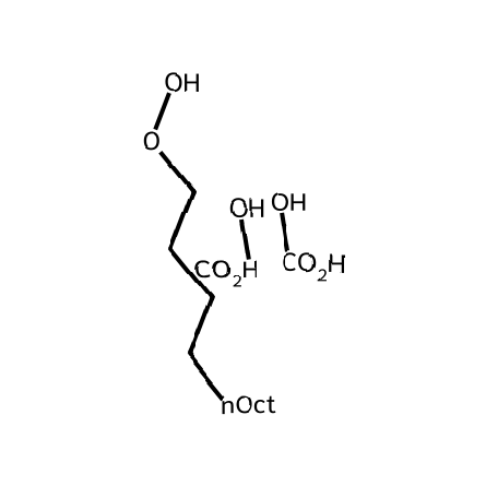 CCCCCCCCCCCCOO.O=C(O)O.O=C(O)O